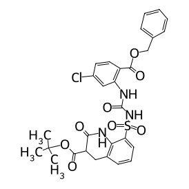 CC(C)(C)OC(=O)C1Cc2cccc(S(=O)(=O)NC(=O)Nc3cc(Cl)ccc3C(=O)OCc3ccccc3)c2NC1=O